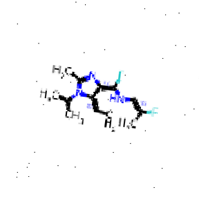 C/C=c1\c(=C(\F)N/C=C(\C)F)nc(C)n1C(C)C